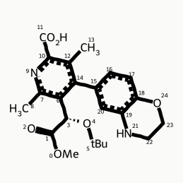 COC(=O)[C@@H](OC(C)(C)C)c1c(C)nc(C(=O)O)c(C)c1-c1ccc2c(c1)NCCO2